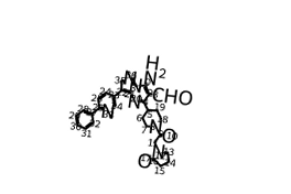 Nc1c(C=O)c(C2CCN(C(=O)CN3CCCC3=O)CC2)nc2c(-c3ccc(-c4ccccc4)nc3)cnn12